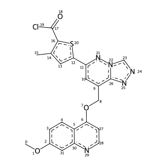 COc1ccc2c(OCc3cc(-c4cc(C)c(C(=O)Cl)s4)nn4cnnc34)ccnc2c1